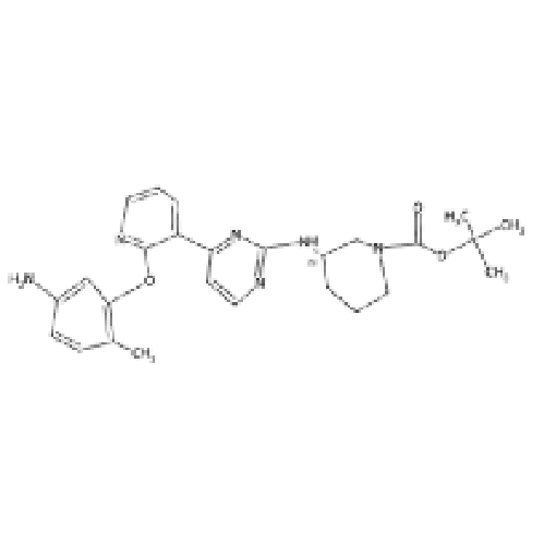 Cc1ccc(N)cc1Oc1ncccc1-c1ccnc(N[C@H]2CCCN(C(=O)OC(C)(C)C)C2)n1